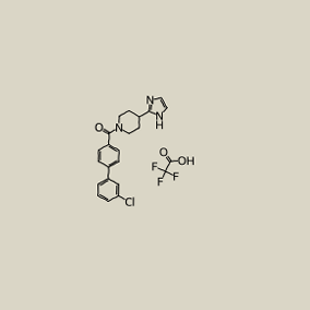 O=C(O)C(F)(F)F.O=C(c1ccc(-c2cccc(Cl)c2)cc1)N1CCC(c2ncc[nH]2)CC1